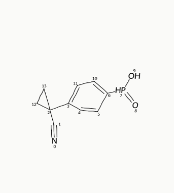 N#CC1(c2ccc([PH](=O)O)cc2)CC1